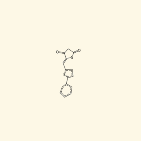 O=C1CC(=O)C(=Cc2ccc(-c3ccccc3)s2)S1